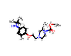 CC(C)c1cc(NC(C)(C)C#N)ccc1OCCN1CCN(C(=O)OC(C)(C)C)C(C)C1